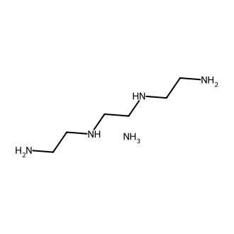 N.NCCNCCNCCN